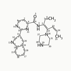 C=C/C(NC(=O)c1ccnc(-c2cnc3ccccc3c2)n1)=C(\C=C/C)N1CCNCC1